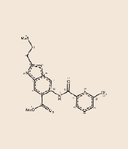 COC(=O)c1cc2nc(CCSC)cn2cc1NC(=O)c1cccc(C(F)(F)F)n1